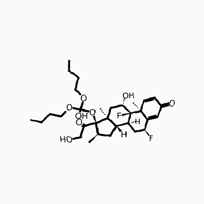 CCCCOC(O)(OCCCC)O[C@]1(C(=O)CO)[C@H](C)C[C@H]2[C@@H]3C[C@H](F)C4=CC(=O)C=C[C@]4(C)[C@@]3(F)[C@@H](O)C[C@@]21C